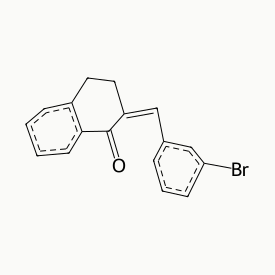 O=C1C(=Cc2cccc(Br)c2)CCc2ccccc21